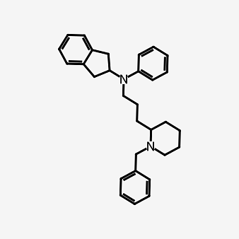 c1ccc(CN2CCCCC2CCCN(c2ccccc2)C2Cc3ccccc3C2)cc1